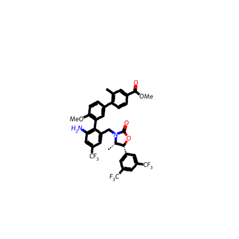 COC(=O)c1ccc(-c2ccc(OC)c(-c3c(N)cc(C(F)(F)F)cc3CN3C(=O)O[C@H](c4cc(C(F)(F)F)cc(C(F)(F)F)c4)[C@@H]3C)c2)c(C)c1